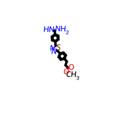 COC(=O)CCc1ccc(-c2nnc(-c3ccc(C(=N)N)cc3)s2)cc1